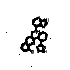 Clc1cccc2cc(CNc3ncnc4[nH]cnc34)c(-c3ccccc3-c3nn[nH]n3)nc12